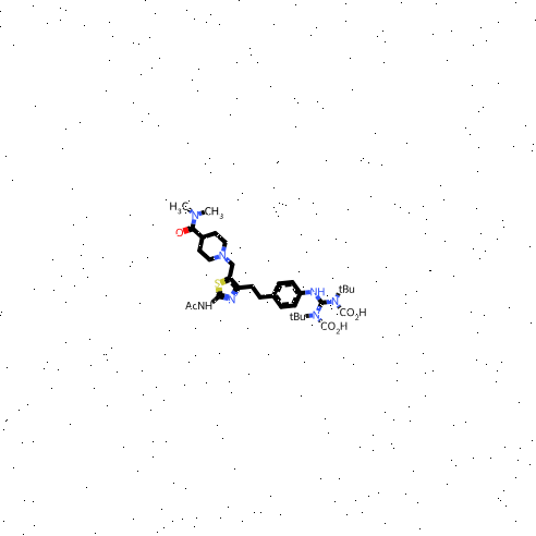 CC(=O)Nc1nc(CCc2ccc(NC(N(C(=O)O)C(C)(C)C)N(C(=O)O)C(C)(C)C)cc2)c(CN2CCC(C(=O)N(C)C)CC2)s1